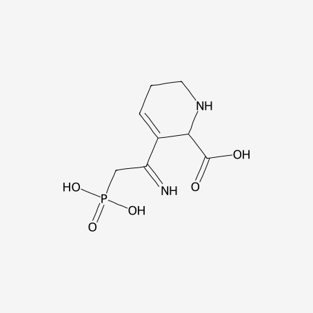 N=C(CP(=O)(O)O)C1=CCCNC1C(=O)O